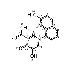 CC(=O)c1nn(-c2cccc3ccc(C)nc23)cc(O)c1=O